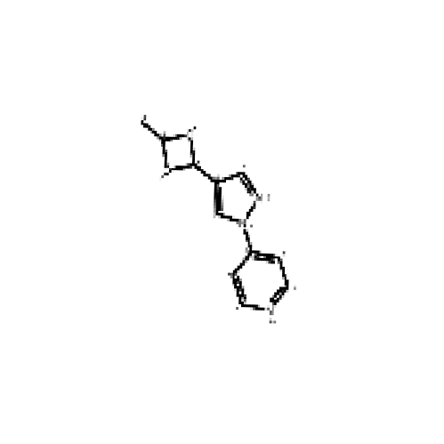 CC1OC(c2cnn(-c3ccncc3)c2)O1